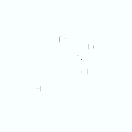 C=C/C=C(/F)N(C)CC